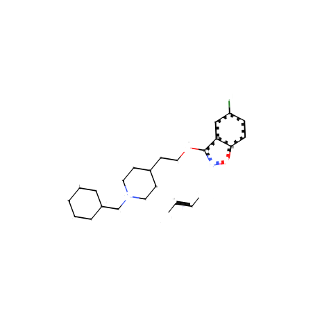 Clc1ccc2onc(OCCC3CCN(CC4CCCCC4)CC3)c2c1.O=C(O)/C=C/C(=O)O